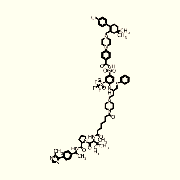 Cc1ncsc1-c1ccc(C(C)NC(=O)C2CCCN2C(=O)C(NC(=O)CCCCCC(=O)N2CCN(CCC(CSc3ccccc3)Nc3ccc(S(=O)(=O)NC(=O)c4ccc(N5CCN(CC6=C(c7ccc(Cl)cc7)CCC(C)(C)C6)CC5)cc4)cc3S(=O)(=O)C(F)(F)F)CC2)C(C)(C)C)cc1